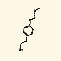 COCOc1ccc(CCO)cc1